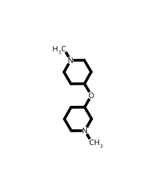 CN1CCC(OC2CCCN(C)C2)CC1